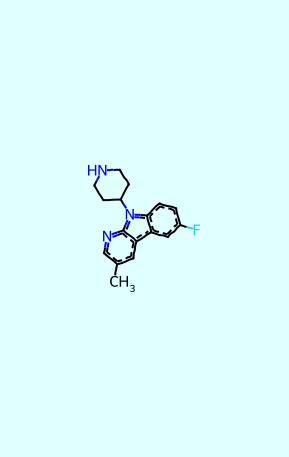 Cc1cnc2c(c1)c1cc(F)ccc1n2C1CCNCC1